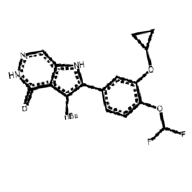 CCCCc1c(-c2ccc(OC(F)F)c(OC3CC3)c2)[nH]c2cn[nH]c(=O)c12